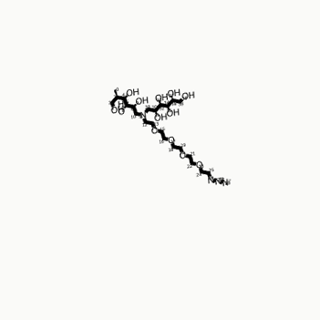 C[C@H](CO)[C@@H](O)[C@H](O)[C@@H](O)CN(CCOCCOCCOCCOCCN=[N+]=[N-])C[C@H](O)[C@@H](O)[C@H](O)[C@H](O)CO